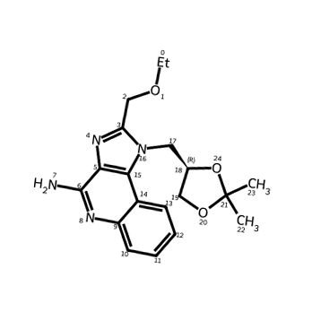 CCOCc1nc2c(N)nc3ccccc3c2n1C[C@@H]1COC(C)(C)O1